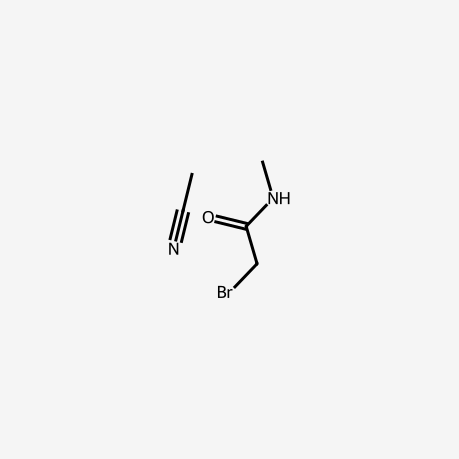 CC#N.CNC(=O)CBr